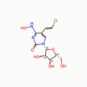 O=c1nc(NO)c(C=CCl)cn1[C@@H]1O[C@H](CO)[C@@H](O)[C@H]1O